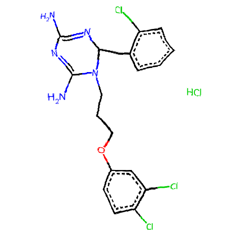 Cl.NC1=NC(c2ccccc2Cl)N(CCCOc2ccc(Cl)c(Cl)c2)C(N)=N1